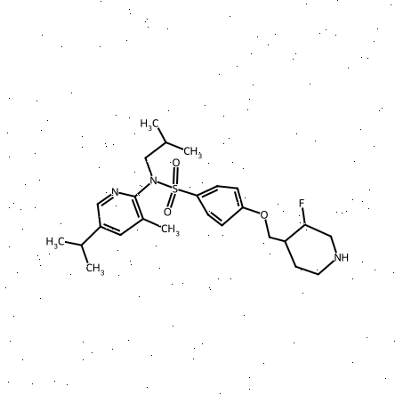 Cc1cc(C(C)C)cnc1N(CC(C)C)S(=O)(=O)c1ccc(OCC2CCNCC2F)cc1